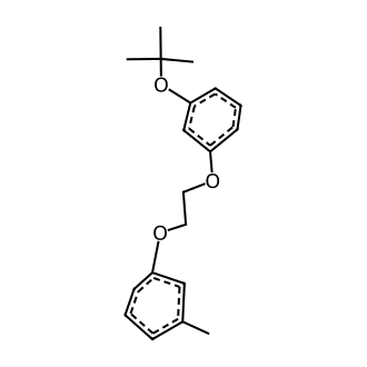 Cc1cccc(OCCOc2cccc(OC(C)(C)C)c2)c1